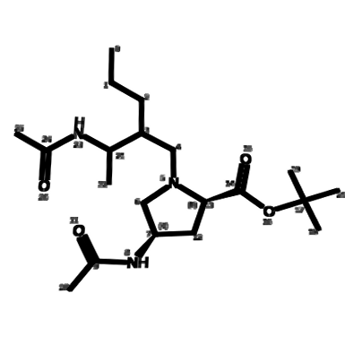 CCCC(CN1C[C@H](NC(C)=O)C[C@@H]1C(=O)OC(C)(C)C)C(C)NC(C)=O